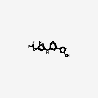 O[C@H]1CC[C@@H](c2cncc(Nc3cc(OC(F)F)[nH]n3)n2)C1